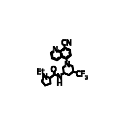 CCN1CCCC1C(=O)NC1CC(C(F)(F)F)CN(c2ccc(C#N)c3ncccc23)C1